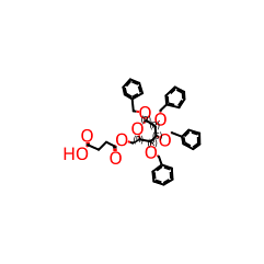 O=C(O)CCC(=O)OC[C@H]1O[C@@H](OCc2ccccc2)[C@H](OCc2ccccc2)[C@@H](OCc2ccccc2)[C@@H]1OCc1ccccc1